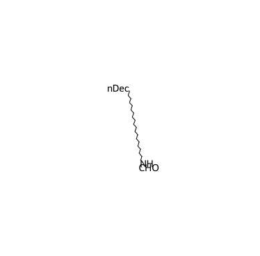 CCCCCCCCCCCCCCCCCCCCCCCCCCCCCCNC=O